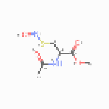 COC(=O)C(CSN=O)NC(C)=O